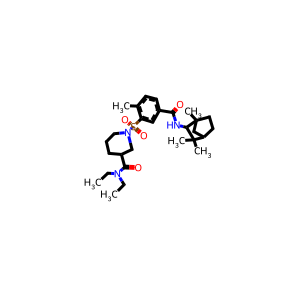 CCN(CC)C(=O)C1CCCN(S(=O)(=O)c2cc(C(=O)NC3C4(C)CCC(C4)C3(C)C)ccc2C)C1